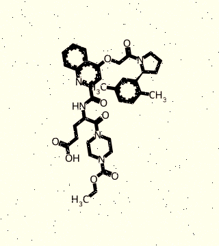 CCOC(=O)N1CCN(C(=O)C(CCC(=O)O)NC(=O)c2cc(OCC(=O)N3CCC[C@H]3c3cc(C)ccc3C)c3ccccc3n2)CC1